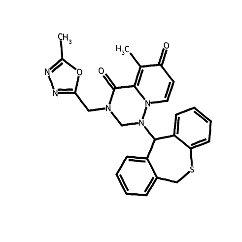 Cc1nnc(CN2CN(C3c4ccccc4CSc4ccccc43)n3ccc(=O)c(C)c3C2=O)o1